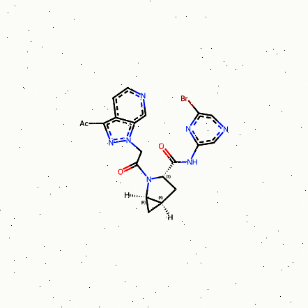 CC(=O)c1nn(CC(=O)N2[C@@H]3C[C@@H]3C[C@H]2C(=O)Nc2cncc(Br)n2)c2cnccc12